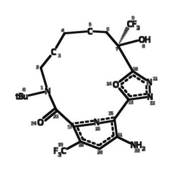 CC(C)(C)N1CCCCC[C@](O)(C(F)(F)F)c2nnc(o2)-c2nc(c(C(F)(F)F)cc2N)C1=O